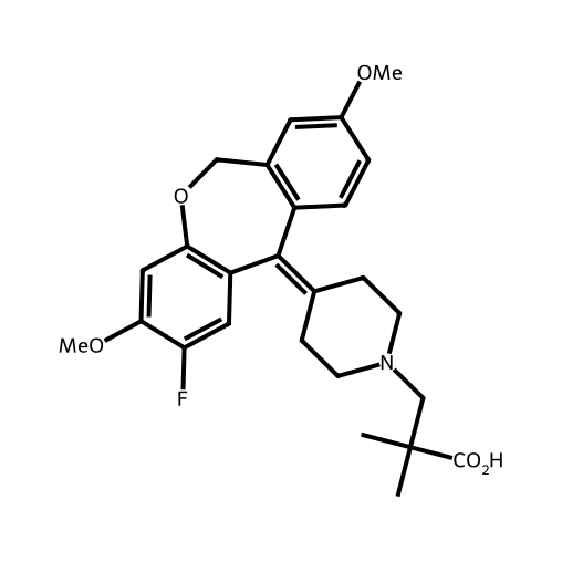 COc1ccc2c(c1)COc1cc(OC)c(F)cc1C2=C1CCN(CC(C)(C)C(=O)O)CC1